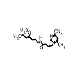 CCCC(CCCNC(=O)C/C=C\N1CN=C(C)C=C1C)OC